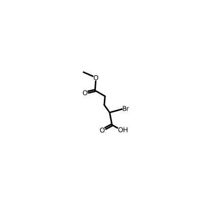 COC(=O)CCC(Br)C(=O)O